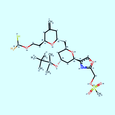 C=C1C[C@H](C[C@@H]2C[C@@H](O[Si](C)(C)C(C)(C)C)C[C@H](c3coc(COS(C)(=O)=O)n3)O2)O[C@@H](CCOB(P)S)C1